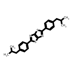 CC(C)Cc1ccc(-c2nc3sc(-c4ccc(CC(C)C)cc4)nc3s2)cc1